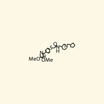 COc1cnc(-c2ccc(SCC(=O)NCC3CCCN(CC4CCCC4)C3)cc2)nc1OC